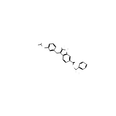 Cc1c(Cc2cccc(OC(C(=O)O)C(F)(F)F)c2)c2ccc(C(=O)N[C@@H](C)c3ccccc3)cc2n1C